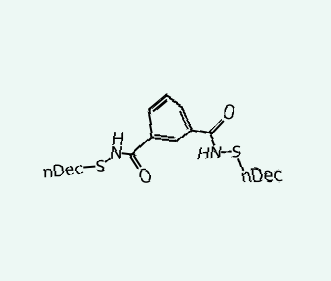 CCCCCCCCCCSNC(=O)c1cccc(C(=O)NSCCCCCCCCCC)c1